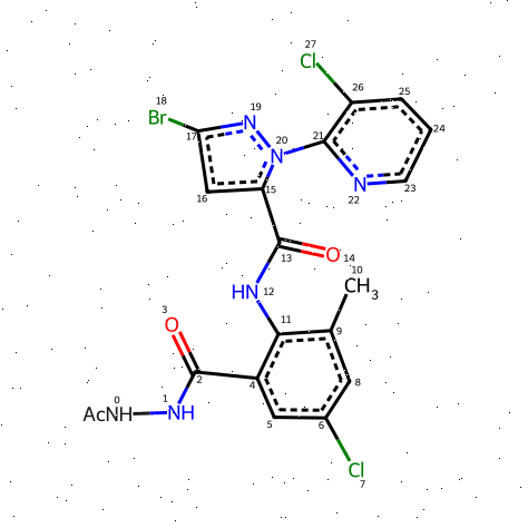 CC(=O)NNC(=O)c1cc(Cl)cc(C)c1NC(=O)c1cc(Br)nn1-c1ncccc1Cl